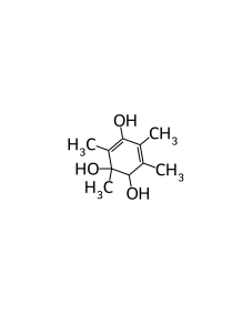 CC1=C(C)C(O)C(C)(O)C(C)=C1O